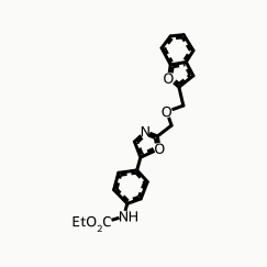 CCOC(=O)Nc1ccc(-c2cnc(COCc3cc4ccccc4o3)o2)cc1